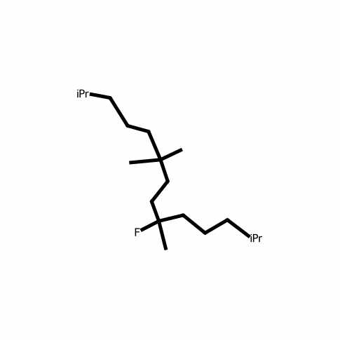 CC(C)CCCC(C)(C)CCC(C)(F)CCCC(C)C